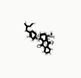 CCC(C)Cc1ccc(Nc2ccc(NC)c3c2C(=O)c2ccccc2C3=O)cc1